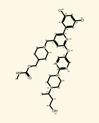 CNC(=O)OCC1CCN(Cc2cc(Oc3cnc(N4CCN(C(C)CCO)CC4)nc3)nc(-c3cc(Cl)cc(Cl)c3)c2)CC1